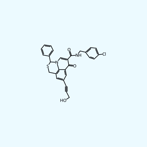 O=C(NCc1ccc(Cl)cc1)c1cn2c3c(cc(C#CCO)cc3c1=O)CSC2c1ccccc1